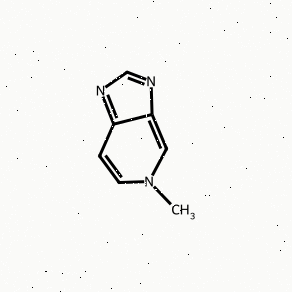 Cn1ccc2ncnc-2c1